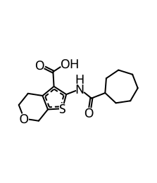 O=C(O)c1c(NC(=O)C2CCCCCC2)sc2c1CCOC2